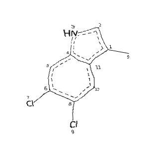 Cc1c[nH]c2cc(Cl)c(Cl)cc12